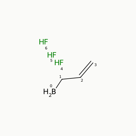 BCC=C.F.F.F